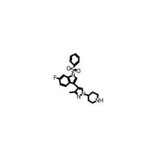 Cc1nn(C2CCNCC2)cc1-c1cn(S(=O)(=O)c2ccccc2)c2cc(F)ccc12